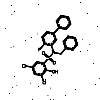 O=S(=O)(c1cc(Cl)cc(Cl)c1O)N(Cc1ccccc1)c1cc(-c2ccccc2)ccc1F